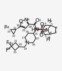 O=C(NC1C[C@H]2CC[C@@H](C1)N2S(=O)(=O)CC1CCN(CC2CC(F)(F)C2)CC1)c1cc([C@H]2C[C@@H]2F)on1